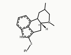 CC1CC2c3cccc4[nH]c(SC(C)C)c(c34)C[C@H]2N(C)C1